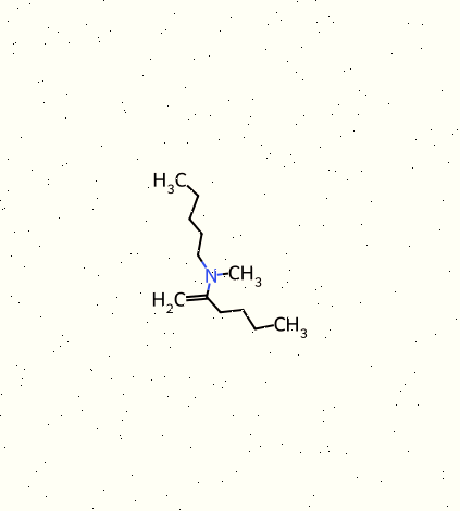 C=C(CCCC)N(C)CCCCC